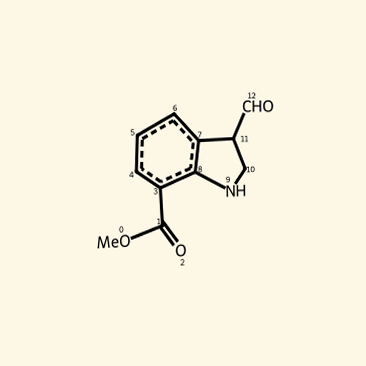 COC(=O)c1cccc2c1NCC2C=O